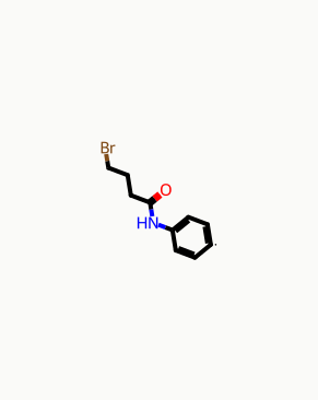 O=C(CCCBr)Nc1cc[c]cc1